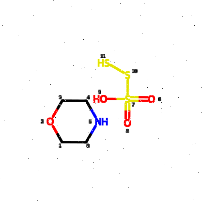 C1COCCN1.O=S(=O)(O)SS